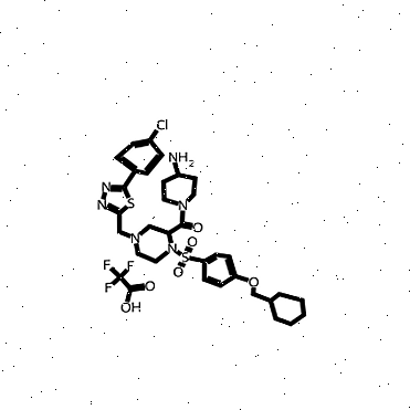 NC1CCN(C(=O)C2CN(Cc3nnc(-c4ccc(Cl)cc4)s3)CCN2S(=O)(=O)c2ccc(OCC3CCCCC3)cc2)CC1.O=C(O)C(F)(F)F